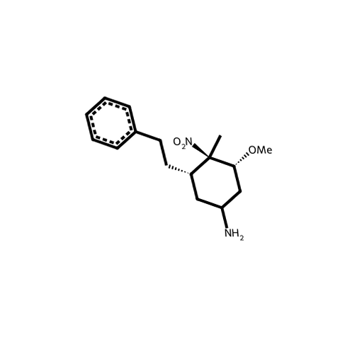 CO[C@@H]1CC(N)C[C@H](CCc2ccccc2)[C@@]1(C)[N+](=O)[O-]